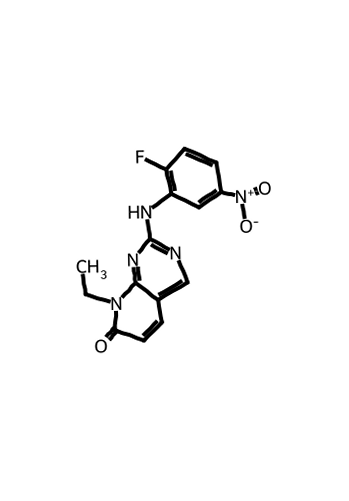 CCn1c(=O)ccc2cnc(Nc3cc([N+](=O)[O-])ccc3F)nc21